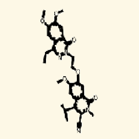 CCc1nn(CCOc2cc3c(=O)n(C)c(C#N)c(C(C)C)c3cc2OC)c(=O)c2cc(OC)c(OC)cc12